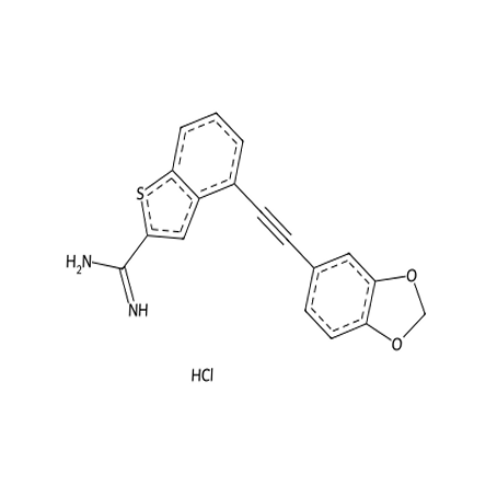 Cl.N=C(N)c1cc2c(C#Cc3ccc4c(c3)OCO4)cccc2s1